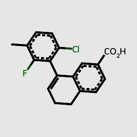 Cc1ccc(Cl)c(C2=CCCc3ccc(C(=O)O)cc32)c1F